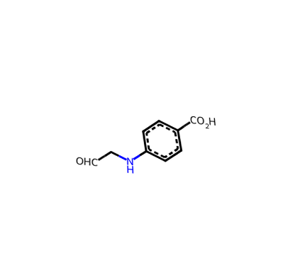 O=CCNc1ccc(C(=O)O)cc1